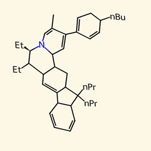 CCCCC1C=CC(C2=CC3C4CC5C(=CC4C(CC)[C@@H](CC)N3C=C2C)C2C=CC=CC2C5(CCC)CCC)=CC1